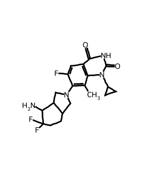 Cc1c(N2CC3CCC(F)(F)C(N)C3C2)c(F)cc2c(=O)[nH]c(=O)n(C3CC3)c12